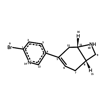 Brc1ccc(C2=CC[C@H]3CN[C@H]3C2)cn1